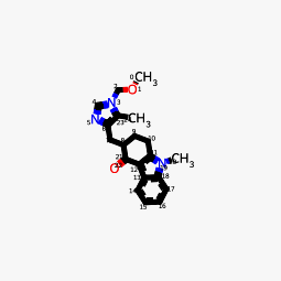 COCn1cnc(CC2CCc3c(c4ccccc4n3C)C2=O)c1C